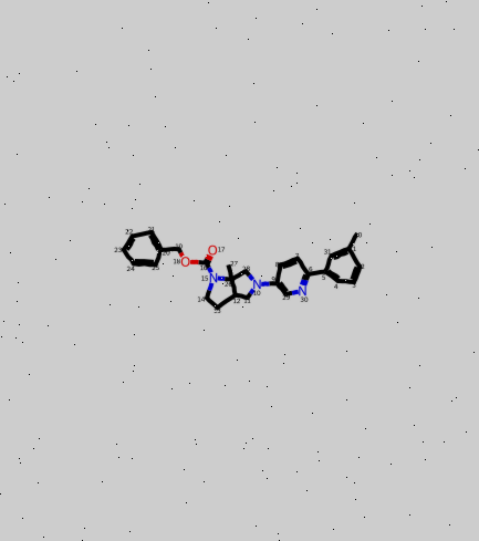 Cc1cccc(-c2ccc(N3CC4CCN(C(=O)OCc5ccccc5)C4(C)C3)cn2)c1